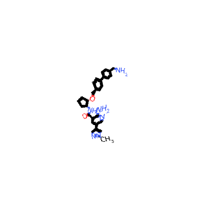 Cn1cc(-c2cnc(N)c(C(=O)N[C@H]3CCC[C@@H]3OCc3ccc(-c4ccc(CN)cc4)cc3)c2)cn1